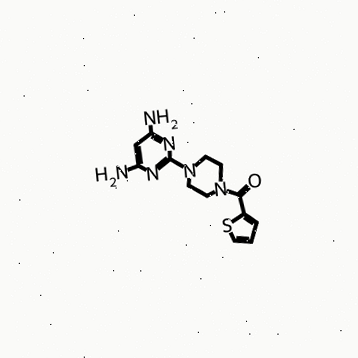 Nc1cc(N)nc(N2CCN(C(=O)c3cccs3)CC2)n1